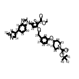 COC(=O)c1sc(-n2cnc3cc(-c4cnn(C)c4)ccc32)cc1OCc1cccc(OC2CCN(C(=O)OC(C)(C)C)CC2)c1